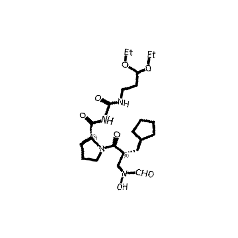 CCOC(CCNC(=O)NC(=O)[C@@H]1CCCN1C(=O)[C@H](CC1CCCC1)CN(O)C=O)OCC